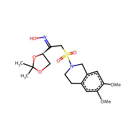 COc1cc2c(cc1OC)CN(S(=O)(=O)C/C(=N/O)[C@H]1COC(C)(C)O1)CC2